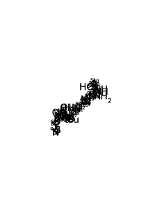 Cc1ncsc1-c1ccc(CNC(=O)[C@@H]2C[C@@H](O)CN2C(=O)[C@@H](NC(=O)C2CCC(N3CCC(c4cnc(N5CCN(C6=C(N)NNC(c7ccccc7O)=C6)CC5)nc4)CC3)CC2)C(C)(C)C)cc1